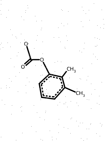 Cc1cccc(OC([O])=O)c1C